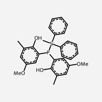 COc1cc(C)c(O)c(P(c2cc(OC)cc(C)c2O)[Si](C)(c2ccccc2)c2ccccc2)c1